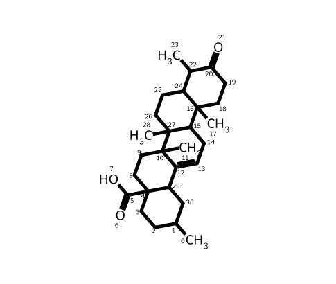 CC1CCC2(C(=O)O)CCC3(C)C(=CCC4C5(C)CCC(=O)C(C)C5CCC43C)C2C1